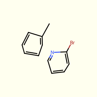 Brc1ccccn1.Cc1ccccc1